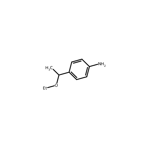 CCOC(C)c1ccc(N)cc1